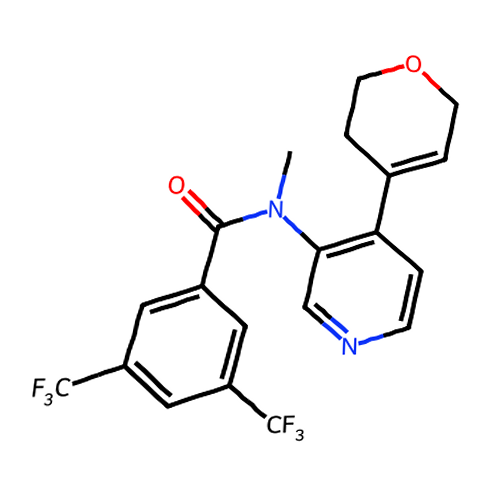 CN(C(=O)c1cc(C(F)(F)F)cc(C(F)(F)F)c1)c1cnccc1C1=CCOCC1